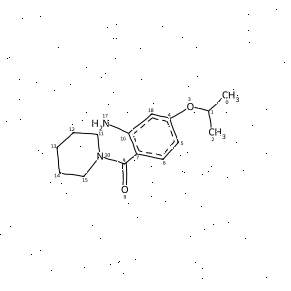 CC(C)Oc1ccc(C(=O)N2CCCCC2)c(N)c1